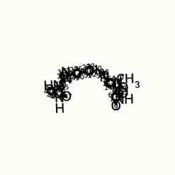 Cn1c(=O)n(C2CCC(=O)NC2=O)c2ccc(N3CC(CN4CCC(c5ccc(-c6nccc(-c7cc8c([nH]7)C7(CCCC7)CNC8=O)n6)cc5)CC4)C3)cc21